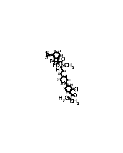 CN(C)C(=O)c1ccc(N2CCC(CCCN(C)C(=O)[C@]3(O)c4cccc(C5CC5)c4C3(F)F)CC2)cc1Cl